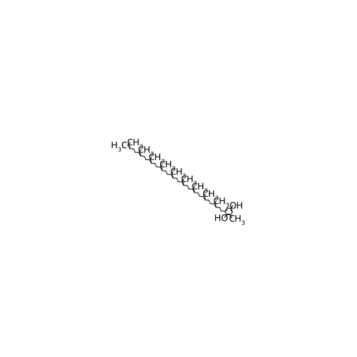 CC(C)=CCC/C(C)=C/CC/C(C)=C/CC/C(C)=C/CC/C(C)=C/CC/C(C)=C/CC/C(C)=C/CC/C(C)=C/CC/C(C)=C/CCc1cc(O)cc(C)c1O